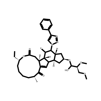 CC[C@H]1CCCC[C@@H](C)C(=O)C2=CC3[C@@H](C(F)C(n4cc(-c5ccccc5)nn4)[C@@H]4C[C@@H](OC(O)[C@H](COC)OC)C[C@@H]34)[C@@H]2CC(=O)O1